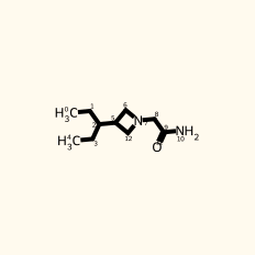 CCC(CC)C1CN(CC(N)=O)C1